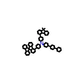 CC1(C)c2ccccc2-c2c(-c3ccc(N(c4ccc(-c5ccc(-c6ccccc6)cc5)cc4)c4ccc(-c5cccc6c5-c5ccccc5C65c6ccccc6-c6ccccc65)cc4)cc3)cccc21